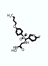 C=CCCOc1ccc(S(=O)(=O)C(NCC(=O)NO)c2ccc(F)nc2)cc1